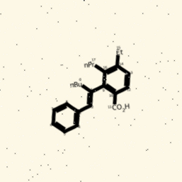 CCCCC(=Cc1ccccc1)c1c(C(=O)O)ccc(CC)c1CCC